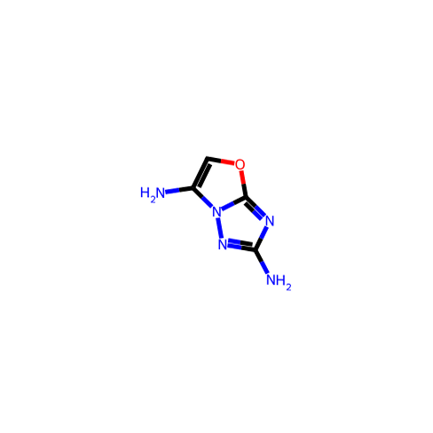 Nc1nc2occ(N)n2n1